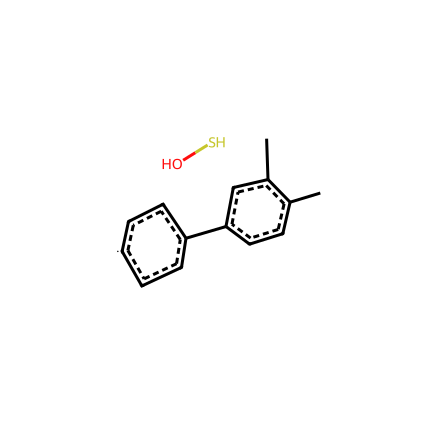 Cc1ccc(-c2cc[c]cc2)cc1C.OS